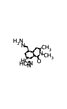 C#N.C#N.Cc1cc2c(C=NN)cccc2c(=O)n1C